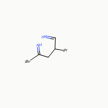 [CH2]C(C)C(C=N)CC(=N)C(C)CC